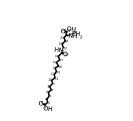 O=C(O)CCCCCCCCCCCCCCCCC(=O)NCCCCC(NP)C(=O)O